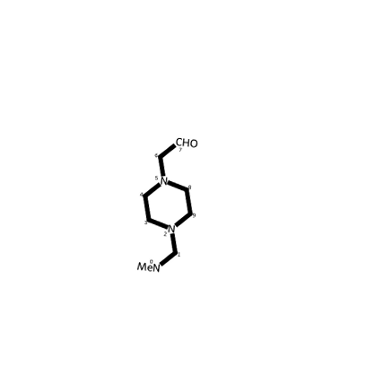 CNCN1CCN(CC=O)CC1